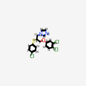 Clc1ccc(SC(COc2ccc(Cl)c(Cl)c2)Cn2ccnc2)cc1